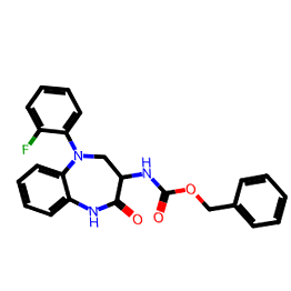 O=C(NC1CN(c2ccccc2F)c2ccccc2NC1=O)OCc1ccccc1